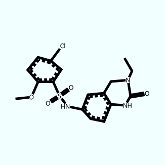 CCN1Cc2cc(NS(=O)(=O)c3cc(Cl)ccc3OC)ccc2NC1=O